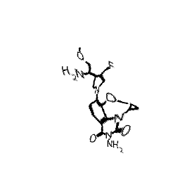 COCC(N)C1CN(c2ccc3c(=O)n(N)c(=O)n(C4CC4)c3c2OC)CC1F